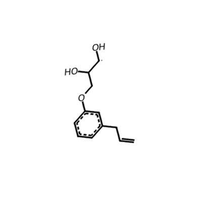 C=CCc1cccc(OCC(O)[CH]O)c1